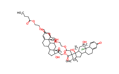 C[C@@H]1CC2C3CCC4=CC(=O)C=C[C@]4(C)[C@@]3(F)[C@@H](O)C[C@]2(C)[C@@]1(O)C(CC=O)(CC(=O)OCCOCCOCCOCCOC(=O)CCC(=O)O)C(=O)OCC(=O)[C@@]1(O)CCC2C3CCC4=CC(=O)C=C[C@]4(C)C3[C@@H](O)C[C@@]21C